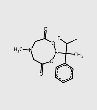 CN1CC(=O)OB(C(C)(c2ccccc2)C(F)F)OC(=O)C1